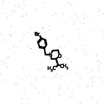 CC(C)C1CN(Cc2ccc(Br)cc2)CCO1